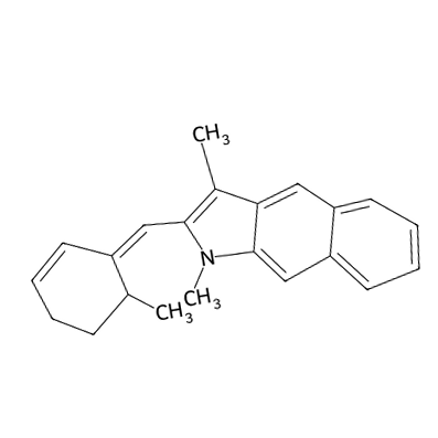 Cc1c(/C=C2/C=CCCC2C)n(C)c2cc3ccccc3cc12